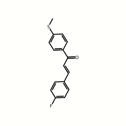 CSc1ccc(C(=O)C=Cc2ccc(F)cc2)cc1